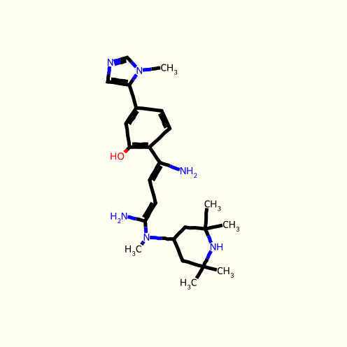 CN(/C(N)=C/C=C(\N)c1ccc(-c2cncn2C)cc1O)C1CC(C)(C)NC(C)(C)C1